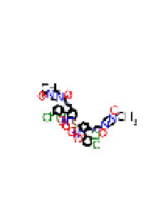 CC(=O)N1CCN(C(=O)/C=C/c2ccc(Sc3ccc(/C=C/C(=O)N4CCN(C(C)=O)CC4)c(-c4cccc(Cl)c4Cl)c3[N+](=O)[O-])c([N+](=O)[O-])c2-c2cccc(Cl)c2Cl)CC1